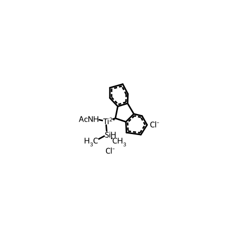 CC(=O)[NH][Ti+2]([CH]1c2ccccc2-c2ccccc21)[SiH](C)C.[Cl-].[Cl-]